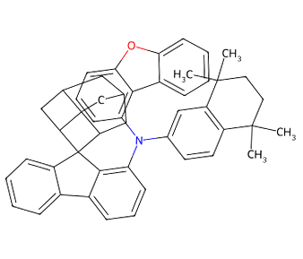 CC1(C)CCC(C)(C)c2cc(N(c3cccc4c3C3(c5ccccc5-4)C4CC5CC6CC3C64C5)c3cccc4oc5ccccc5c34)ccc21